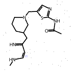 CN/C=C\C(=N)CC1CCCN(Cc2cnc(NC(C)=O)s2)C1